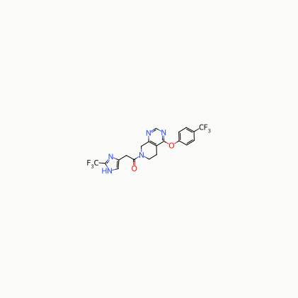 O=C(Cc1c[nH]c(C(F)(F)F)n1)N1CCc2c(ncnc2Oc2ccc(C(F)(F)F)cc2)C1